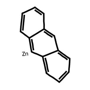 [Zn].c1ccc2cc3ccccc3cc2c1